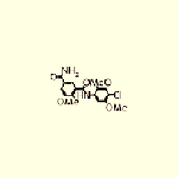 COc1cc(NC(=O)c2cc(C(N)=O)ccc2OC)c(OC)cc1Cl